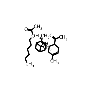 C=C(C)C1CC=C(C)CC1.CC1=CCC2CC1C2(C)C.CCCCCCOC(C)=O